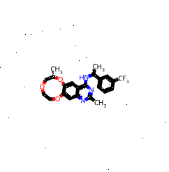 Cc1nc(NC(C)c2cccc(C(F)(F)F)c2)c2cc3c(cc2n1)OCCOC[C@H](C)O3